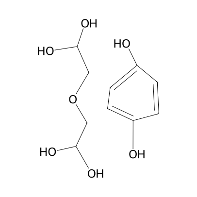 OC(O)COCC(O)O.Oc1ccc(O)cc1